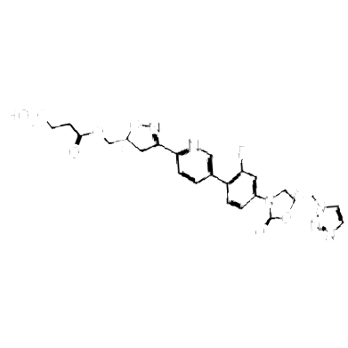 O=C(O)CCC(=O)OC[C@@H]1CC(c2ccc(-c3ccc(N4C[C@H](Cn5ccnn5)OC4=O)cc3F)cn2)=NO1